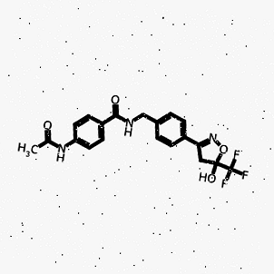 CC(=O)Nc1ccc(C(=O)NCc2ccc(C3=NOC(O)(C(F)(F)F)C3)cc2)cc1